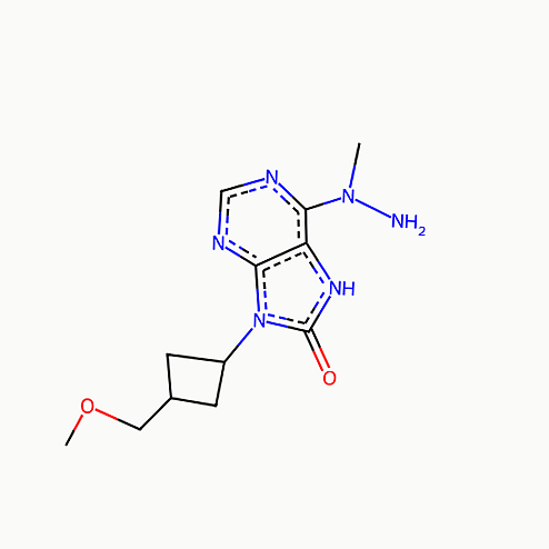 COCC1CC(n2c(=O)[nH]c3c(N(C)N)ncnc32)C1